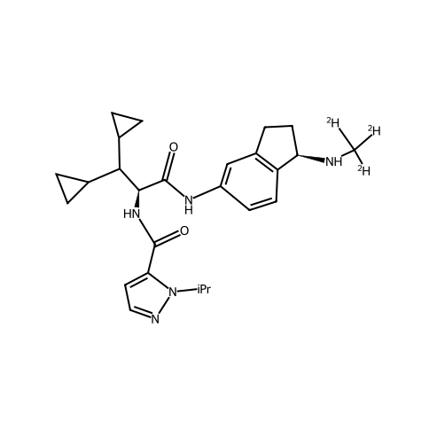 [2H]C([2H])([2H])N[C@@H]1CCc2cc(NC(=O)[C@@H](NC(=O)c3ccnn3C(C)C)C(C3CC3)C3CC3)ccc21